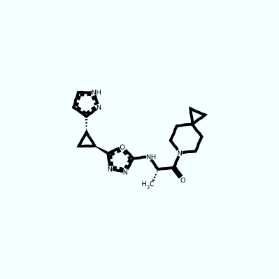 C[C@H](Nc1nnc([C@H]2C[C@@H]2c2cc[nH]n2)o1)C(=O)N1CCC2(CC1)CC2